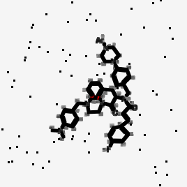 CC(=O)N1CCN(c2ccc(CN(C(=O)C=Cc3ccc(F)cc3)C(Cc3ccccc3)C(=O)N3CCN(Cc4ccc(N(C)C)cc4)CC3)cc2)CC1